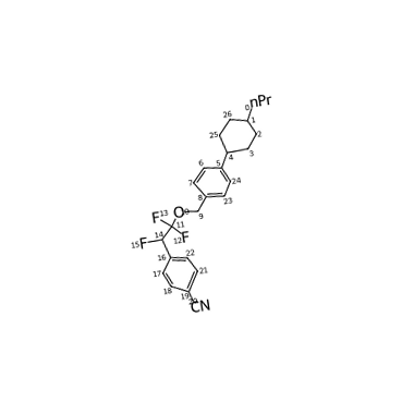 CCCC1CCC(c2ccc(COC(F)(F)C(F)c3ccc(C#N)cc3)cc2)CC1